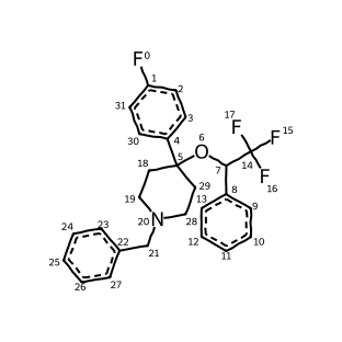 Fc1ccc(C2(OC(c3ccccc3)C(F)(F)F)CCN(Cc3ccccc3)CC2)cc1